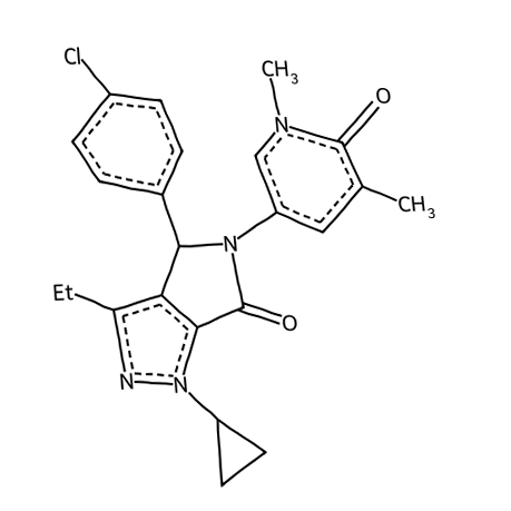 CCc1nn(C2CC2)c2c1C(c1ccc(Cl)cc1)N(c1cc(C)c(=O)n(C)c1)C2=O